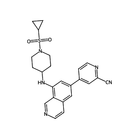 N#Cc1cc(-c2cc(NC3CCN(S(=O)(=O)C4CC4)CC3)c3cnccc3c2)ccn1